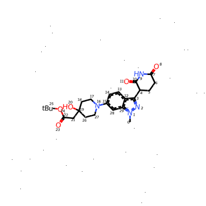 Cn1nc(C2CCC(=O)NC2=O)c2ccc(N3CCC(O)(CC(=O)OC(C)(C)C)CC3)cc21